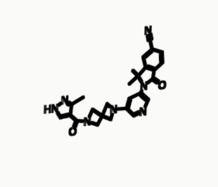 Cc1n[nH]cc1C(=O)N1CC2(C1)CN(c1cncc(N3C(=O)c4ccc(C#N)cc4C3(C)C)c1)C2